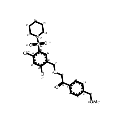 COCc1ccc(C(=O)COCc2cc(S(=O)(=O)N3CCCCC3)c(Cl)cc2Cl)cc1